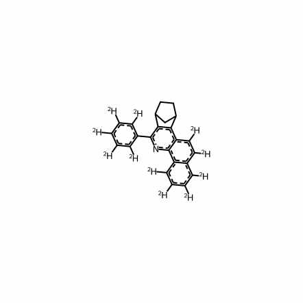 [2H]c1c([2H])c([2H])c(-c2nc3c(c([2H])c([2H])c4c([2H])c([2H])c([2H])c([2H])c43)c3c2C2CCC3C2)c([2H])c1[2H]